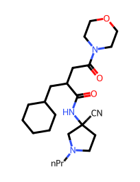 CCCN1CCC(C#N)(NC(=O)C(CC(=O)N2CCOCC2)CC2CCCCC2)C1